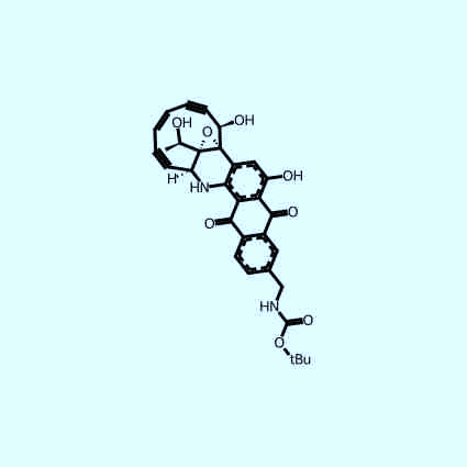 C[C@@H](O)[C@@]12O[C@]13c1cc(O)c4c(c1N[C@H]2C#C/C=C\C#C[C@H]3O)C(=O)c1ccc(CNC(=O)OC(C)(C)C)cc1C4=O